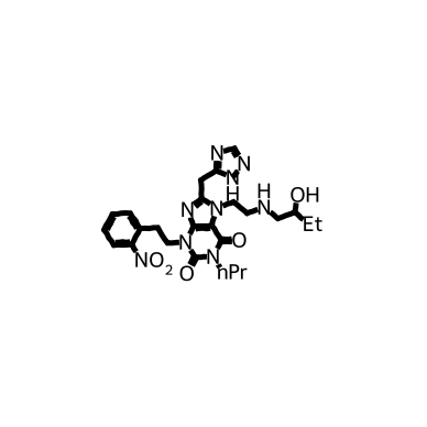 CCCn1c(=O)c2c(nc(Cc3ncn[nH]3)n2CCNCC(O)CC)n(CCc2ccccc2[N+](=O)[O-])c1=O